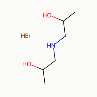 Br.CC(O)CNCC(C)O